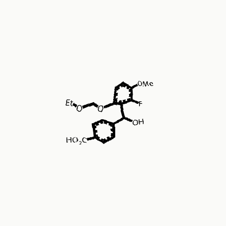 CCOCOc1ccc(OC)c(F)c1C(O)c1ccc(C(=O)O)cc1